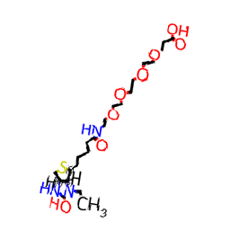 CCN1C(O)N[C@H]2CS[C@@H](CCCCC(=O)NCCOCCOCCOCCOCCC(=O)O)[C@H]21